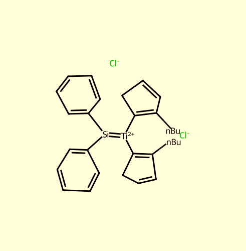 CCCCC1=[C]([Ti+2]([C]2=C(CCCC)C=CC2)=[Si](c2ccccc2)c2ccccc2)CC=C1.[Cl-].[Cl-]